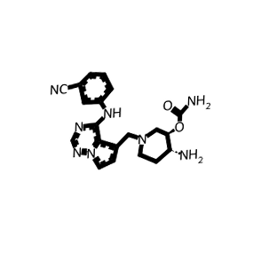 N#Cc1cccc(Nc2ncnn3ccc(CN4CC[C@@H](N)[C@H](OC(N)=O)C4)c23)c1